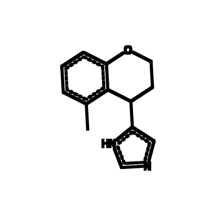 Cc1cccc2c1C(c1cnc[nH]1)CCO2